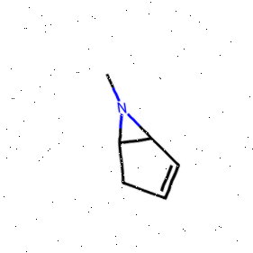 CN1C2C=CCC21